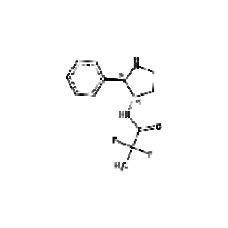 CC(F)(F)C(=O)N[C@H]1CCN[C@@H]1c1ccccc1